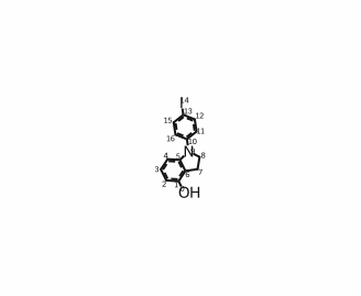 Oc1cccc2c1CCN2c1ccc(I)cc1